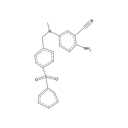 CN(Cc1ccc(S(=O)(=O)c2ccccc2)cc1)c1ccc(N)c(C#N)c1